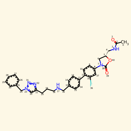 CC(=O)NC[C@H]1CN(c2ccc(-c3ccc(CNCCCc4cn(Cc5ccccc5)nn4)cc3)c(F)c2)C(=O)O1